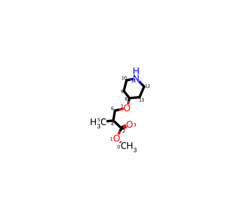 COC(=O)C(C)COC1CCNCC1